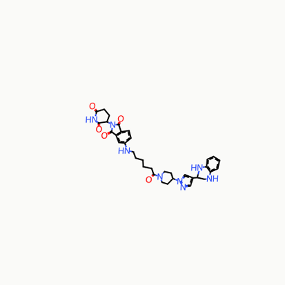 O=C1CCC(N2C(=O)c3ccc(NCCCCCC(=O)N4CCC(n5cc(C6CNc7ccccc7N6)cn5)CC4)cc3C2=O)C(=O)N1